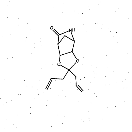 C=CCC1(CC=C)OC2C3CC(C(=O)N3)C2O1